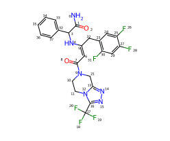 NC(=O)C(N/C(=C\C(=O)N1CCn2c(nnc2C(F)(F)F)C1)Cc1cc(F)c(F)cc1F)c1ccccc1